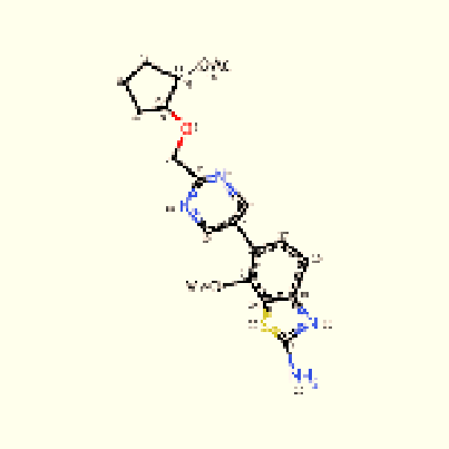 COc1c(-c2cnc(CO[C@H]3CCC[C@@H]3OC(C)=O)nc2)ccc2nc(N)sc12